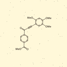 COC(=O)c1ccc(C(=O)C#Cc2cc(OC)c(OC)cc2OC)cc1